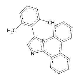 Cc1cccc(C)c1-c1cnc2c3ccccc3c3ccccc3n12